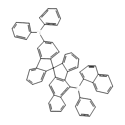 c1ccc(N(c2ccccc2)c2ccc3c(c2)-c2ccccc2C32c3ccccc3-c3c2cc2ccccc2c3N(c2ccccc2)c2cccc3ccccc23)cc1